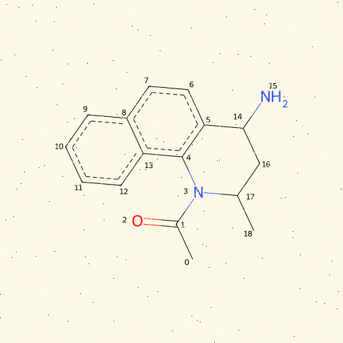 CC(=O)N1c2c(ccc3ccccc23)C(N)CC1C